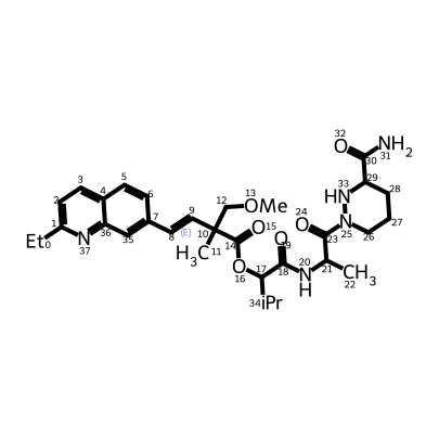 CCc1ccc2ccc(/C=C/C(C)(COC)C(=O)OC(C(=O)NC(C)C(=O)N3CCCC(C(N)=O)N3)C(C)C)cc2n1